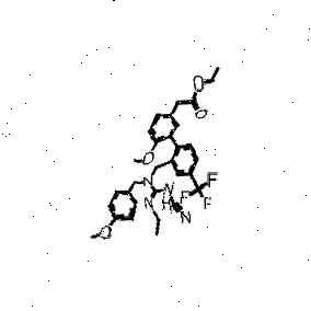 CCN=C(NC#N)N(Cc1ccc(OC)cc1)Cc1cc(C(F)(F)F)ccc1-c1cc(CC(=O)OCC)ccc1OC